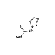 CSC(=S)Nn1cncn1